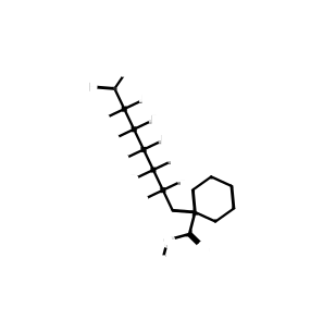 CCCC(C)OC(=O)C1(CC(F)(F)C(F)(F)C(F)(F)C(F)(F)C(F)(F)C(F)F)CCCCC1